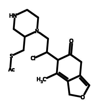 CC(=O)SCC1CNCCN1CC(Cl)C1C(=O)CC2=COCC2=C1C